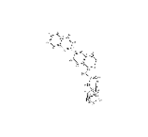 O=C(NC1CCOc2cc(-c3cnc4ccccc4c3)ccc21)O[C@H]1CN2CCC1CC2